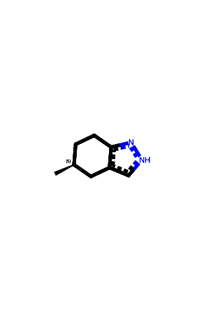 C[C@H]1CCc2n[nH]cc2C1